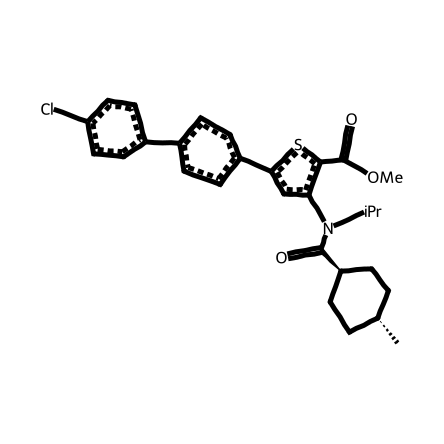 COC(=O)c1sc(-c2ccc(-c3ccc(Cl)cc3)cc2)cc1N(C(=O)[C@H]1CC[C@H](C)CC1)C(C)C